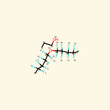 CC(F)(F)C(F)(F)C(F)(F)C(F)(F)OC(F)(F)C(F)(F)C(F)(F)C(C)(F)F.CCCO